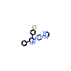 Clc1ccc(-c2cc(-c3ccccc3)nnc2N2CCN(c3ncccn3)CC2)cc1